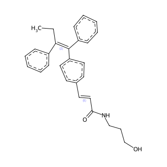 CC/C(=C(\c1ccccc1)c1ccc(/C=C/C(=O)NCCCO)cc1)c1ccccc1